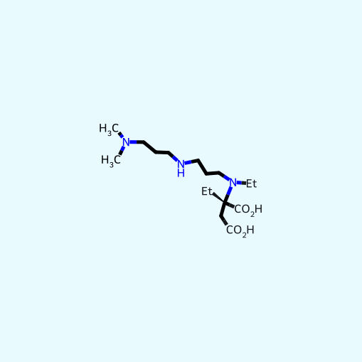 CCN(CCCNCCCN(C)C)[C@@](CC)(CC(=O)O)C(=O)O